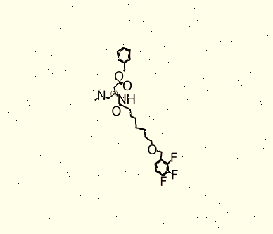 CN(C)C[C@@H](CC(=O)OCc1ccccc1)NC(=O)CCCCCCCOCc1ccc(F)c(F)c1F